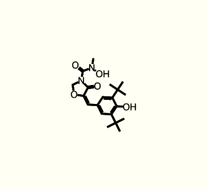 CN(O)C(=O)N1COC(=Cc2cc(C(C)(C)C)c(O)c(C(C)(C)C)c2)C1=O